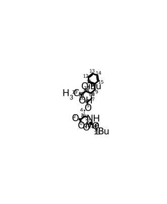 COC(=O)[C@H](COCC[C@H](Cc1ccccc1)[C@@H](OCC(C)C)[C@H](C)O)NC(=O)OC(C)(C)C